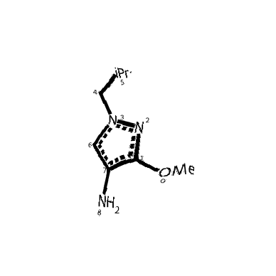 COc1nn(C[C](C)C)cc1N